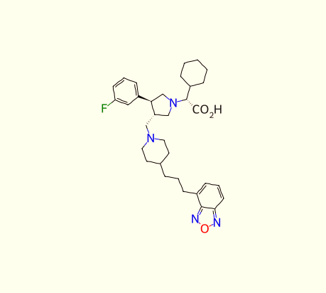 O=C(O)[C@@H](C1CCCCC1)N1C[C@H](CN2CCC(CCCc3cccc4nonc34)CC2)[C@@H](c2cccc(F)c2)C1